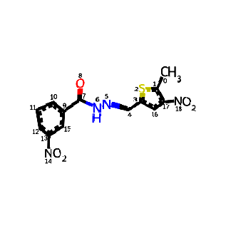 Cc1sc(/C=N/NC(=O)c2cccc([N+](=O)[O-])c2)cc1[N+](=O)[O-]